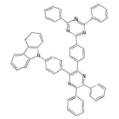 C1=Cc2c(c3ccccc3n2-c2ccc(-c3nc(-c4ccccc4)c(-c4ccccc4)nc3-c3ccc(-c4nc(-c5ccccc5)nc(-c5ccccc5)n4)cc3)cc2)CC1